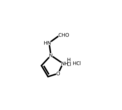 Cl.Cl.O=CNN1C=CON1